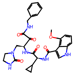 COc1cccc2[nH]cc(C(=O)N[C@H](C(=O)N[C@@H](CN3CCNC3=O)C(=O)C(=O)NCc3ccccc3)C3CC3)c12